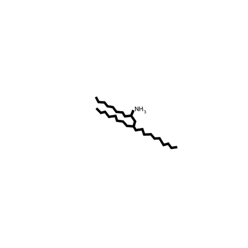 CCCCCCCCCCC(CCCCCCCC)CC(C)CCCCCCCC.N